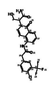 NC(=O)C(CO)n1ccc2c(NC(=O)Cc3ccc(Cl)c(C(F)(F)F)c3)cccc2c1=O